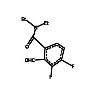 CCN(CC)C(=O)c1ccc(F)c(F)c1C=O